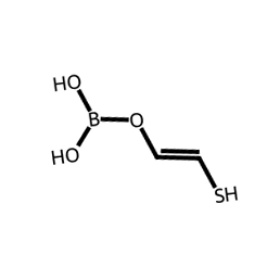 OB(O)OC=CS